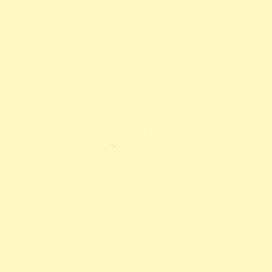 [2H]c1oc(CN2CCOCC2)nc1C